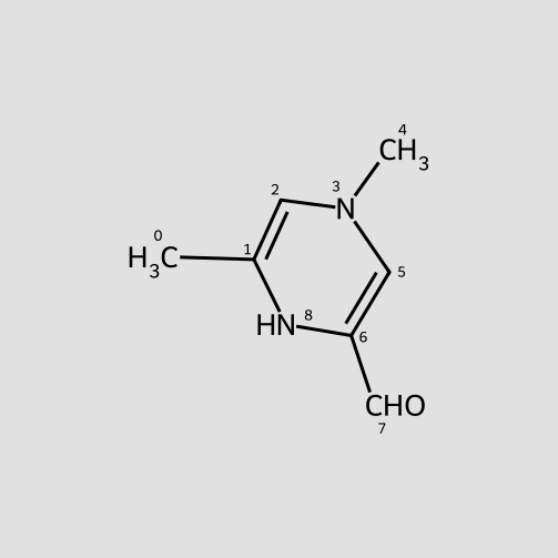 CC1=CN(C)C=C(C=O)N1